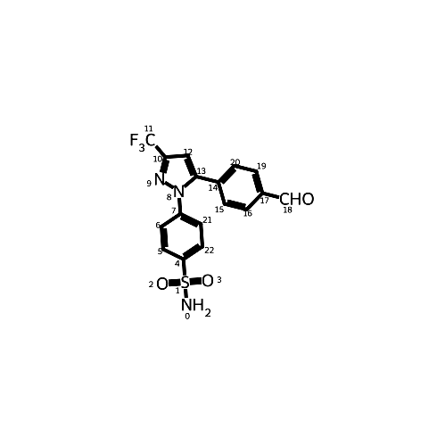 NS(=O)(=O)c1ccc(-n2nc(C(F)(F)F)cc2-c2ccc(C=O)cc2)cc1